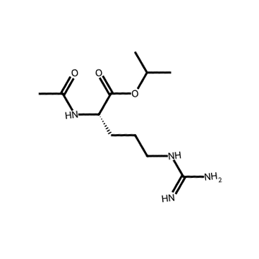 CC(=O)N[C@@H](CCCNC(=N)N)C(=O)OC(C)C